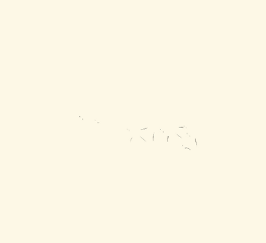 CC(C)Oc1cc2c(cc1NC(=O)c1cnn3cccnc13)CN([C@H]1CC[C@H](N3CCNCC3)CC1)C2=O